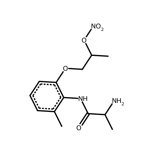 Cc1cccc(OCC(C)O[N+](=O)[O-])c1NC(=O)C(C)N